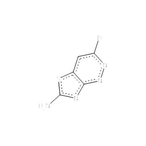 Nc1nc2nnc(Br)cc2s1